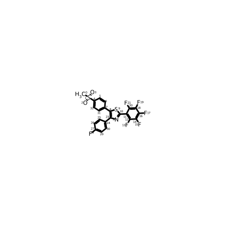 CS(=O)(=O)c1ccc(-c2sc(-c3c(F)c(F)c(F)c(F)c3F)nc2-c2ccc(F)cc2)cc1